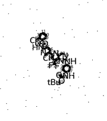 Cc1nc(NS(=O)(=O)c2ccccc2Cl)ccc1-c1cc(C(F)F)c2nc(N[C@H]3CC[C@H](NC(=O)OC(C)(C)C)CC3)ncc2n1